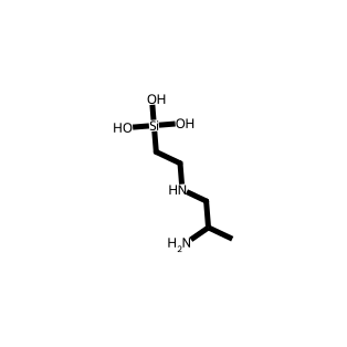 CC(N)CNCC[Si](O)(O)O